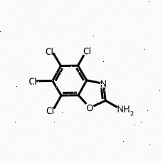 Nc1nc2c(Cl)c(Cl)c(Cl)c(Cl)c2o1